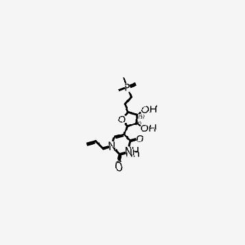 C=CCn1cc(C2OC(CCP(=C)(C)C)[C@@H](O)[C@H]2O)c(=O)[nH]c1=O